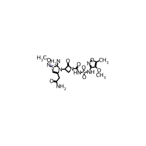 CO/N=S1/C=C(CC(N)=O)N(C2CN(C(=O)NS(=O)(=O)Nc3noc(C)c3OC)C2=O)C1N